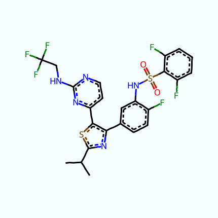 CC(C)c1nc(-c2ccc(F)c(NS(=O)(=O)c3c(F)cccc3F)c2)c(-c2ccnc(NCC(F)(F)F)n2)s1